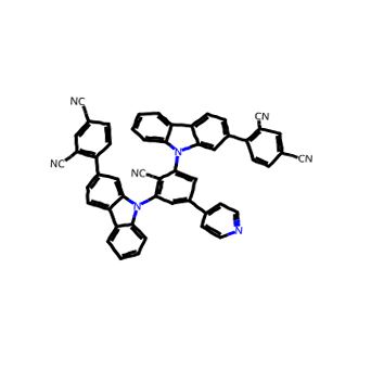 N#Cc1ccc(-c2ccc3c4ccccc4n(-c4cc(-c5ccncc5)cc(-n5c6ccccc6c6ccc(-c7ccc(C#N)cc7C#N)cc65)c4C#N)c3c2)c(C#N)c1